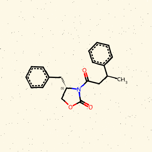 CC(CC(=O)N1C(=O)OC[C@@H]1Cc1ccccc1)c1ccccc1